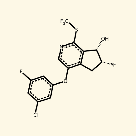 O[C@H]1c2c(SC(F)(F)F)ncc(Oc3cc(F)cc(Cl)c3)c2C[C@H]1F